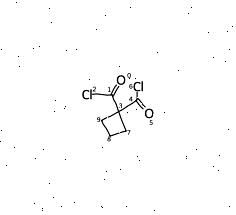 O=C(Cl)C1(C(=O)Cl)CCC1